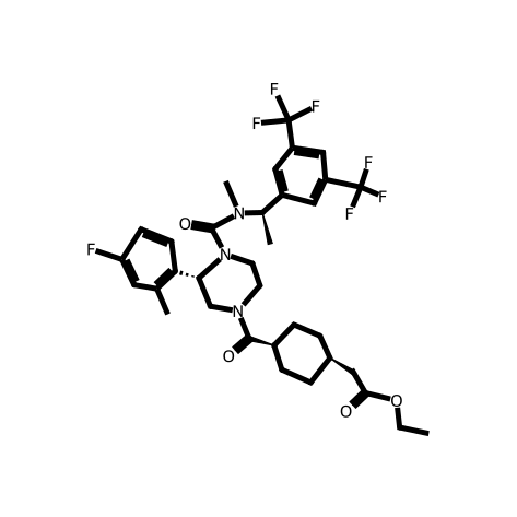 CCOC(=O)C[C@H]1CC[C@@H](C(=O)N2CCN(C(=O)N(C)[C@H](C)c3cc(C(F)(F)F)cc(C(F)(F)F)c3)[C@@H](c3ccc(F)cc3C)C2)CC1